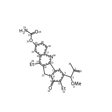 C=C(C)C(OC)c1cc2n(c(=O)c1CC)Cc1c-2nc2ccc(OC(N)=O)cc2c1CC